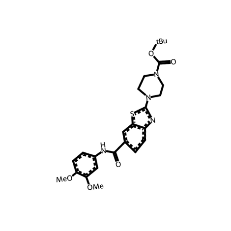 COc1ccc(NC(=O)c2ccc3nc(N4CCN(C(=O)OC(C)(C)C)CC4)sc3c2)cc1OC